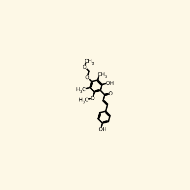 COCOc1c(C)c(O)c(C(=O)/C=C/c2ccc(O)cc2)c(OC)c1C